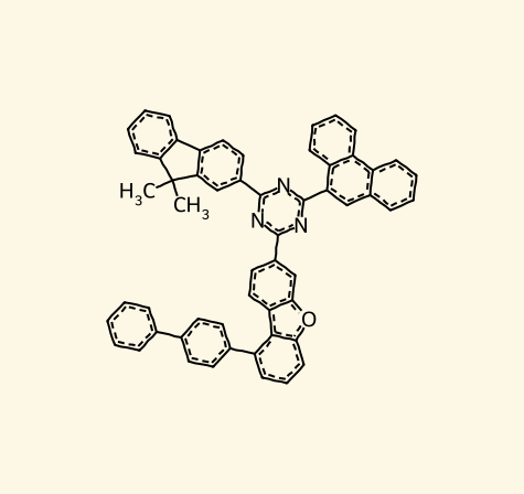 CC1(C)c2ccccc2-c2ccc(-c3nc(-c4ccc5c(c4)oc4cccc(-c6ccc(-c7ccccc7)cc6)c45)nc(-c4cc5ccccc5c5ccccc45)n3)cc21